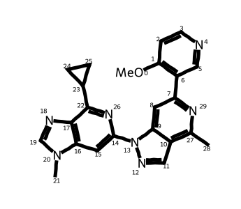 COc1ccncc1-c1cc2c(cnn2-c2cc3c(ncn3C)c(C3CC3)n2)c(C)n1